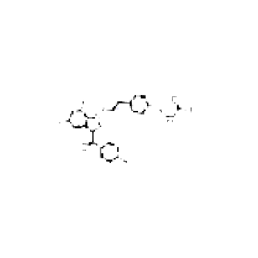 Cc1ccc(C(=O)c2cn(C/C=C/c3ccc(CO[C@@H](C)C(=O)O)cc3)c3c(C)cc(C)cc23)cc1